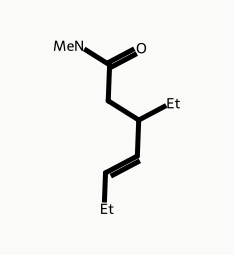 CC/C=C/C(CC)CC(=O)NC